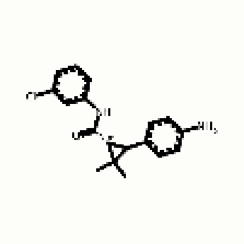 CC1(C)C(c2ccc(N)cc2)[C@H]1C(=O)Nc1cccc(Cl)c1